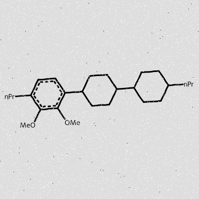 CCCc1ccc(C2CCC(C3CCC(CCC)CC3)CC2)c(OC)c1OC